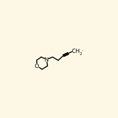 [CH2]C#CCCN1CCOCC1